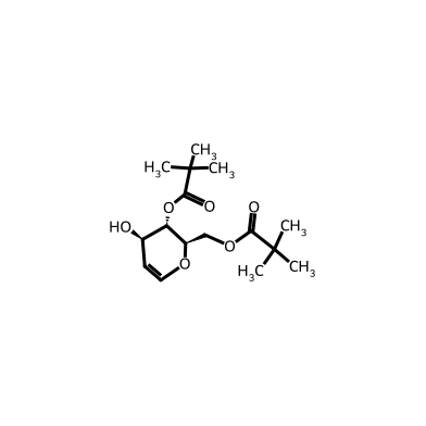 CC(C)(C)C(=O)OC[C@H]1OC=C[C@@H](O)[C@@H]1OC(=O)C(C)(C)C